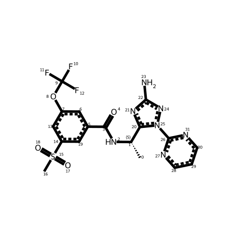 C[C@H](NC(=O)c1cc(OC(F)(F)F)cc(S(C)(=O)=O)c1)c1nc(N)nn1-c1ncccn1